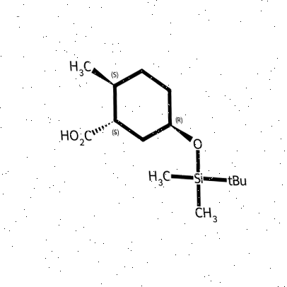 C[C@H]1CC[C@@H](O[Si](C)(C)C(C)(C)C)C[C@@H]1C(=O)O